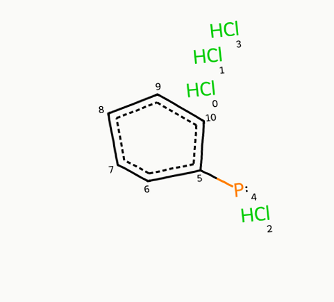 Cl.Cl.Cl.Cl.[P]c1ccccc1